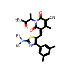 CCN(CC)c1nc(-c2cc(C)cc(C)c2)c(/C=C2\C(=O)N(C(C)C(=O)C(C)(C)C)C(=O)C(C#N)=C2C)s1